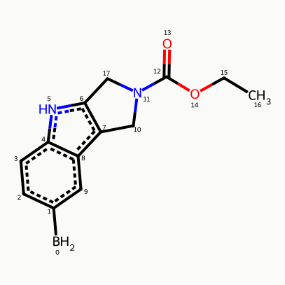 Bc1ccc2[nH]c3c(c2c1)CN(C(=O)OCC)C3